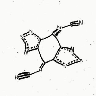 N#CN=C1c2nsnc2C(=NC#N)c2nsnc21